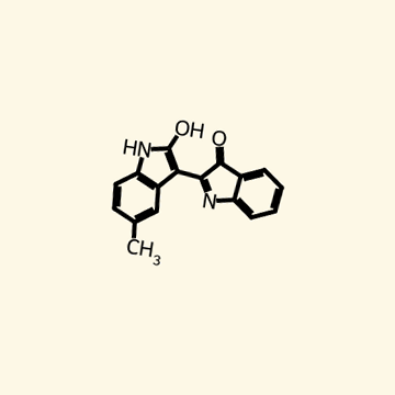 Cc1ccc2[nH]c(O)c(C3=Nc4ccccc4C3=O)c2c1